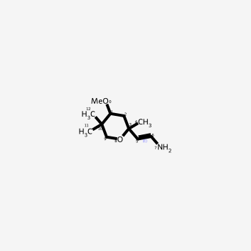 COC1CC(C)(/C=C/N)OCC1(C)C